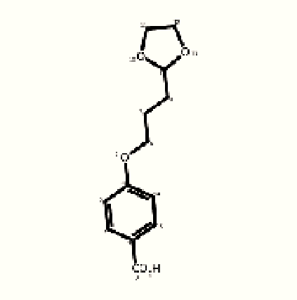 O=C(O)c1ccc(OCCCC2OCCO2)cc1